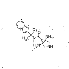 CC(C)(NC(=O)[C@H]1[C@]2(N)CNC[C@]12N)c1cc2ccccn2c1